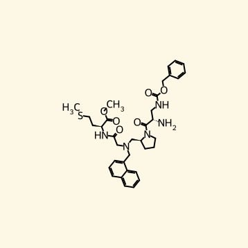 COC(=O)[C@H](CCSC)NC(=O)CN(Cc1cccc2ccccc12)C[C@@H]1CCCN1C(=O)[C@@H](N)CNC(=O)OCc1ccccc1